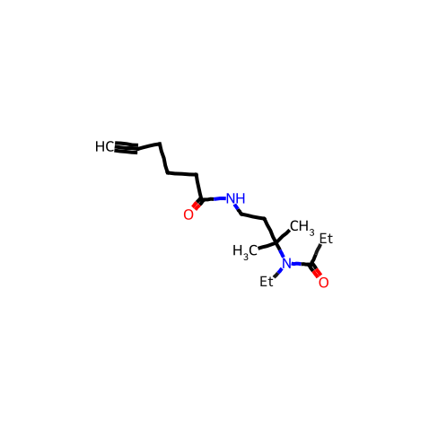 C#CCCCC(=O)NCCC(C)(C)N(CC)C(=O)CC